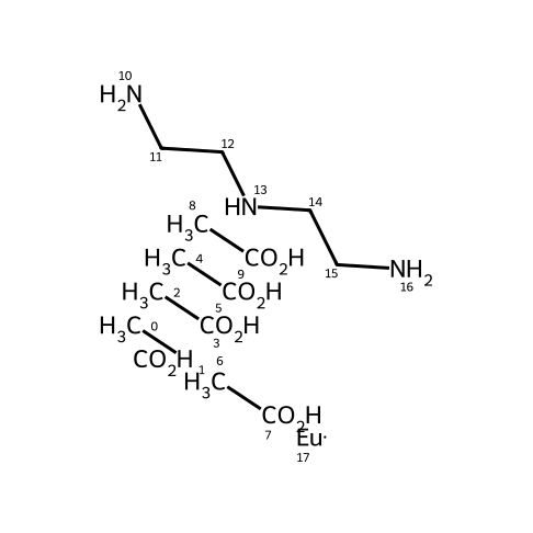 CC(=O)O.CC(=O)O.CC(=O)O.CC(=O)O.CC(=O)O.NCCNCCN.[Eu]